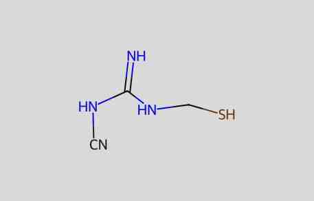 N#CNC(=N)NCS